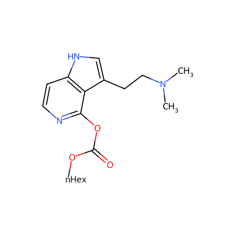 CCCCCCOC(=O)Oc1nccc2[nH]cc(CCN(C)C)c12